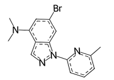 Cc1cccc(-n2ncc3c(N(C)C)cc(Br)cc32)n1